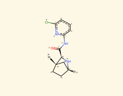 O=C(Nc1cccc(Cl)n1)[C@H]1N[C@@H]2CC[C@H]1C2